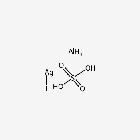 O=S(=O)(O)O.[Ag][I].[AlH3]